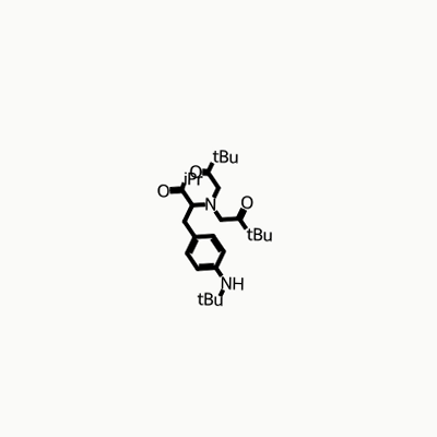 CC(C)C(=O)C(Cc1ccc(NC(C)(C)C)cc1)N(CC(=O)C(C)(C)C)CC(=O)C(C)(C)C